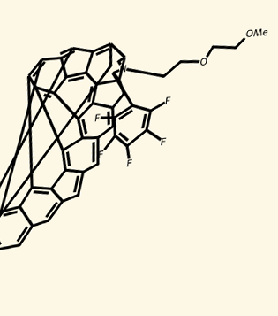 COCCOCCN1CC2C3=c4c5c6c7c(cc8cc9cc%10cc%11cc%12c%13c(c4c4c5c5c7c8c7c9c%10c8c%11c%13c4c8c75)=C(C3)C%12)CC62C1c1c(F)c(F)c(F)c(F)c1F